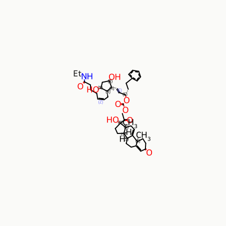 CCNC(=O)CCC/C=C\C[C@@H]1[C@@H](/C=C/[C@H](CCc2ccccc2)OC(=O)OCC(=O)[C@@]2(O)CC[C@H]3[C@@H]4CCC5=CC(=O)CC[C@]5(C)C4=CC[C@@]32C)[C@H](O)C[C@@H]1O